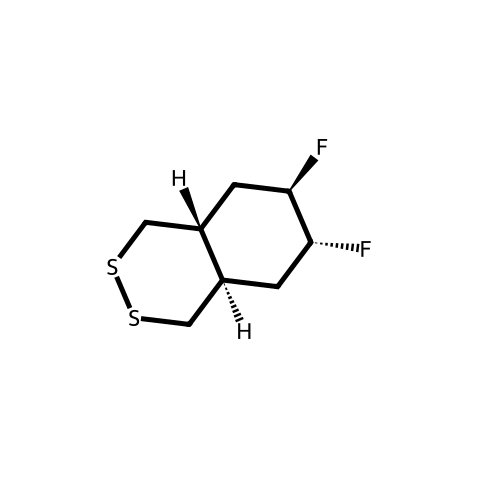 F[C@@H]1C[C@H]2CSSC[C@@H]2C[C@H]1F